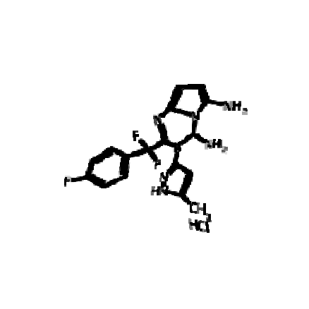 Cc1cc(N2C(C(F)(F)c3ccc(F)cc3)=Nc3ccc(N)n3C2N)n[nH]1.Cl